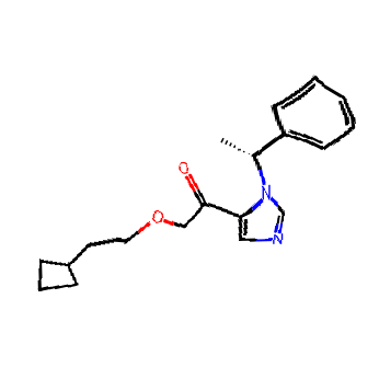 C[C@H](c1ccccc1)n1cncc1C(=O)COCCC1CCC1